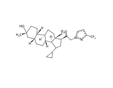 C[C@@]1(O)CC[C@H]2[C@H](CC[C@@H]3[C@@H]2CC[C@]2(C)[C@@H](C(=O)Cn4ccc(C(F)(F)F)n4)CC(C4CC4)[C@@H]32)C1